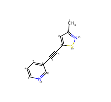 Cc1cc(C#Cc2cccnc2)sn1